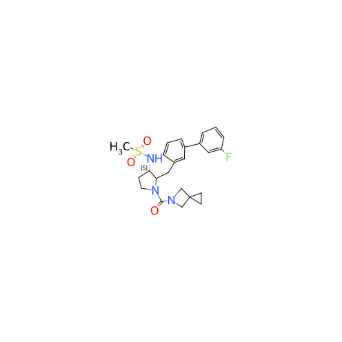 CS(=O)(=O)N[C@H]1CCN(C(=O)N2CC3(CC3)C2)C1Cc1cccc(-c2cccc(F)c2)c1